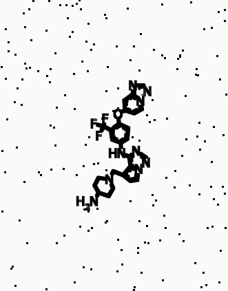 NC1CCN(Cc2ccn3ncnc(Nc4ccc(Oc5ccn6ncnc6c5)c(C(F)(F)F)c4)c23)CC1